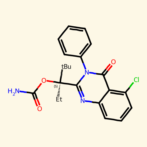 CC[C@@](OC(N)=O)(c1nc2cccc(Cl)c2c(=O)n1-c1ccccc1)C(C)(C)C